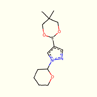 CC1(C)COB(c2cnn(C3CCCCO3)c2)OC1